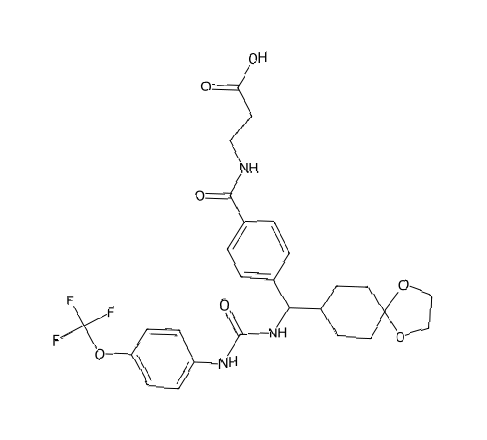 O=C(O)CCNC(=O)c1ccc(C(NC(=O)Nc2ccc(OC(F)(F)F)cc2)C2CCC3(CC2)OCCO3)cc1